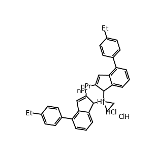 CCCC1=Cc2c(-c3ccc(CC)cc3)cccc2[CH]1[Hf]1([CH]2C(CCC)=Cc3c(-c4ccc(CC)cc4)cccc32)[CH2][CH2]1.Cl.Cl